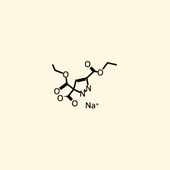 CCOC(=O)C1=CC(C(=O)[O-])(C(=O)OCC)N=N1.[Na+]